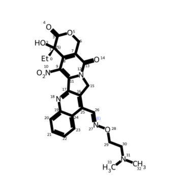 CC[C@@]1(O)C(=O)OCc2c1c([N+](=O)[O-])c1n(c2=O)Cc2c-1nc1ccccc1c2/C=N/OCCN(C)C